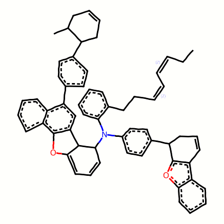 CC/C=C\C=C/CCc1ccccc1N(c1ccc(C2CC=Cc3c2oc2ccccc32)cc1)C1C=CC=C2Oc3c(cc(-c4ccc(C5CC=CCC5C)cc4)c4ccccc34)C21